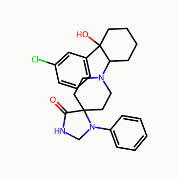 O=C1NCN(c2ccccc2)C12CCN(C1CCCCC1(O)c1cccc(Cl)c1)CC2